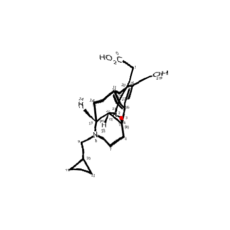 O=C(O)CN1CC[C@]23CCN(CC4CC4)[C@H](CC4=C2C=C(O)CC4)[C@@H]3C1